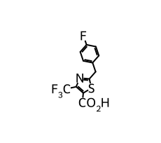 O=C(O)c1sc(Cc2ccc(F)cc2)nc1C(F)(F)F